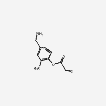 COc1cc(CN)ccc1OC(=O)CCl